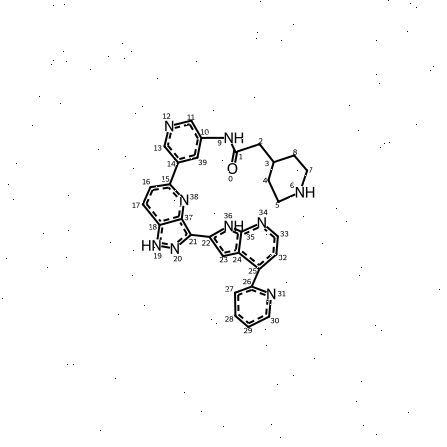 O=C(CC1CCNCC1)Nc1cncc(-c2ccc3[nH]nc(-c4cc5c(-c6ccccn6)ccnc5[nH]4)c3n2)c1